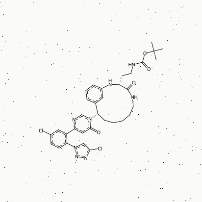 CC(C)(C)OC(=O)NCC[C@H]1Nc2cccc(c2)[C@@H](n2cnc(-c3cc(Cl)ccc3-n3cc(Cl)nn3)cc2=O)CCCCCNC1=O